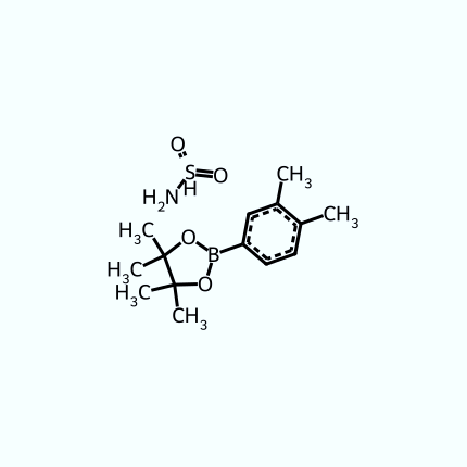 Cc1ccc(B2OC(C)(C)C(C)(C)O2)cc1C.N[SH](=O)=O